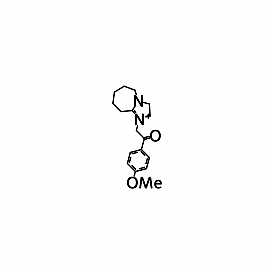 COc1ccc(C(=O)C[N+]2=C3CCCCCN3CC2)cc1